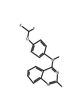 Cc1nc(N(C)c2ccc(OC(F)F)cc2)c2ccccc2n1